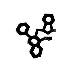 O=C(O)c1c(CC2CNc3ccccc32)c(-c2ccccc2)nc2ccccc12